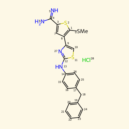 CSc1sc(C(=N)N)cc1-c1csc(Nc2ccc(Cc3ccccc3)cc2)n1.Cl